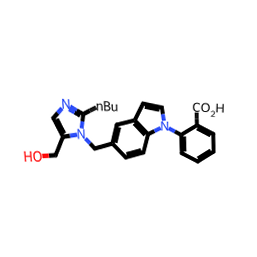 CCCCc1ncc(CO)n1Cc1ccc2c(ccn2-c2ccccc2C(=O)O)c1